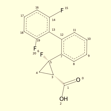 O=C(O)[C@@H]1C[C@@]1(F)c1ccccc1-c1c(F)cccc1F